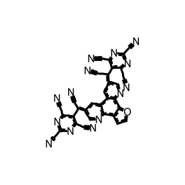 N#C/C(c1c(C#N)nc(C#N)nc1C#N)=c1/cnc2c(c1)c1c/c(=C(\C#N)c3c(C#N)nc(C#N)nc3C#N)cnc1c1occc21